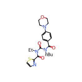 CCCCN(C(=O)c1ccc(N2CCOCC2)cc1)C(=O)N(CC)C(=O)c1nccs1